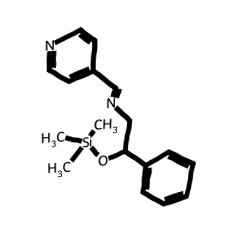 C[Si](C)(C)OC(CN=Cc1ccncc1)c1ccccc1